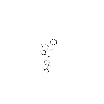 CC1(c2ccsc2)CCN(C(=O)c2cnn3c2N[C@@H](c2ccccc2)CC3(C)C)C1